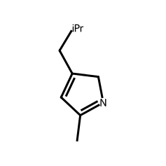 CC1=NCC(CC(C)C)=C1